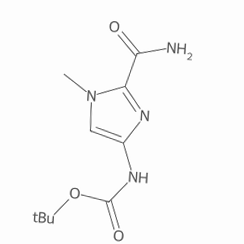 Cn1cc(NC(=O)OC(C)(C)C)nc1C(N)=O